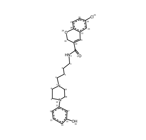 O=C(NCCCCN1CCN(c2cccc(O)c2)CC1)C1=Cc2cc(Cl)ccc2OC1